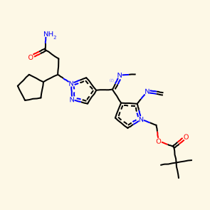 C=Nc1c(/C(=N\C)c2cnn(C(CC(N)=O)C3CCCC3)c2)ccn1COC(=O)C(C)(C)C